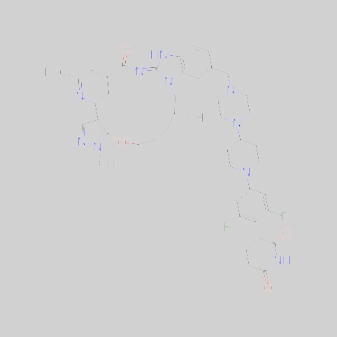 Cc1cc2cc(n1)-c1cnn(C)c1OCCC[C@@H](C)CN1/C(=N/C2=O)Nc2ccc(CN3CCN(C4CCN(c5cc(F)c([C@H]6CCC(=O)NC6=O)c(F)c5)CC4)CC3)cc21